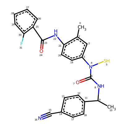 Cc1cc(N(S)C(=O)NC(C)c2ccc(C#N)cc2)ccc1NC(=O)c1ccccc1F